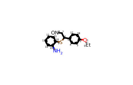 CCOc1ccc(C(CN=O)Sc2ccccc2N)cc1